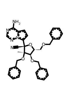 C[C@@]1(OCc2ccccc2)[C@H](OCc2ccccc2)[C@@H](COCc2ccccc2)O[C@@]1(C#N)c1ccc2c(N)ncnn12